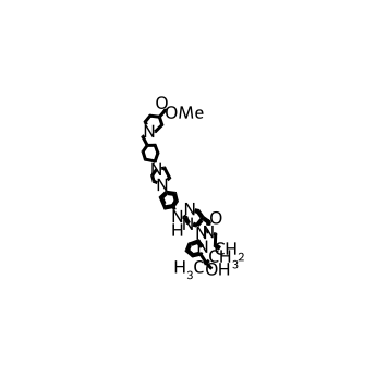 C=CCn1c(=O)c2cnc(Nc3ccc(N4CCN(C5CCC(CN6CCC(C(=O)OC)CC6)CC5)CC4)cc3)nc2n1-c1cccc(C(C)(C)O)n1